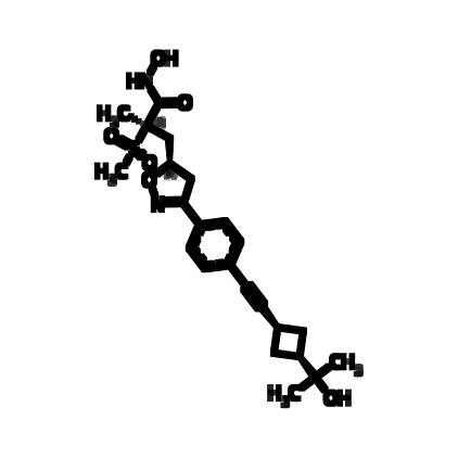 CC(C)(O)[C@H]1C[C@@H](C#Cc2ccc(C3=NO[C@@H](C[C@](C)(C(=O)NO)S(C)(=O)=O)C3)cc2)C1